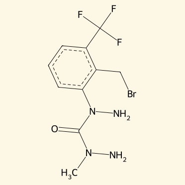 CN(N)C(=O)N(N)c1cccc(C(F)(F)F)c1CBr